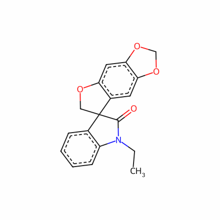 CCN1C(=O)C2(COc3cc4c(cc32)OCO4)c2ccccc21